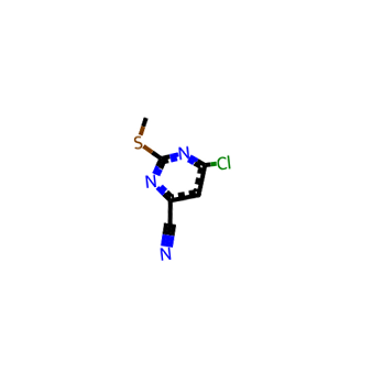 CSc1nc(Cl)cc(C#N)n1